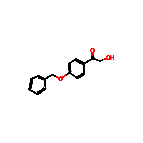 O=C(CO)c1ccc(OCc2ccccc2)cc1